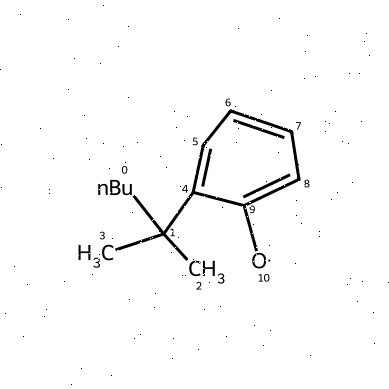 CCCCC(C)(C)c1ccccc1[O]